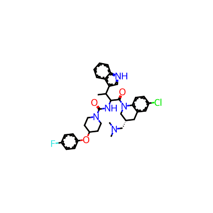 CC(c1c[nH]c2ccccc12)C(NC(=O)N1CCC(Oc2ccc(F)cc2)CC1)C(=O)N1C[C@@H](CN(C)C)Cc2cc(Cl)ccc21